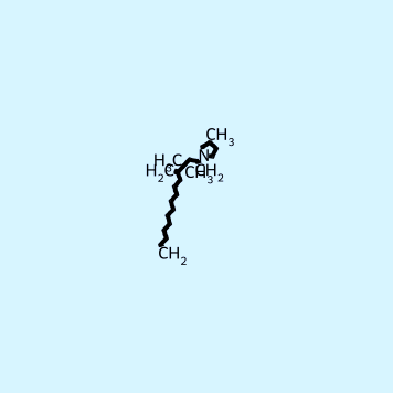 C=CCCCCCCCCCC(=C)C(C)(C)CC(=C)N1CCC(C)C1